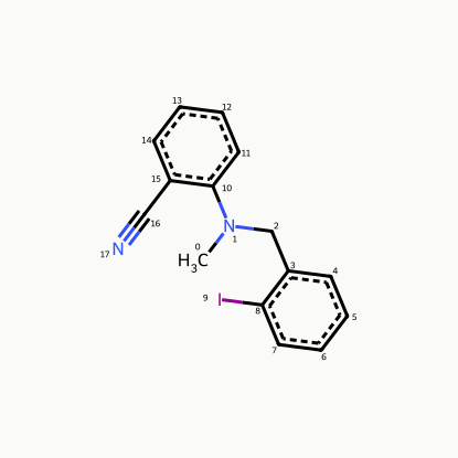 CN(Cc1ccccc1I)c1ccccc1C#N